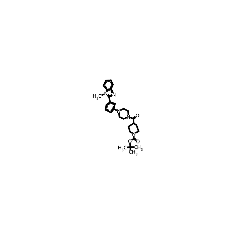 Cn1c(-c2cccc(N3CCN(C(=O)C4CCN(C(=O)OC(C)(C)C)CC4)CC3)c2)nc2ccccc21